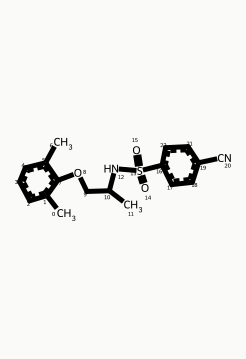 Cc1cccc(C)c1OCC(C)NS(=O)(=O)c1ccc(C#N)cc1